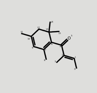 C/C=C(\C)C(=O)C1=C(C)C=C(C)CC1(C)C